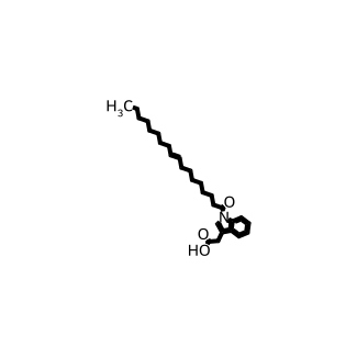 CCCCCCCC/C=C/CCCCCCCC(=O)n1cc(CC(=O)O)c2ccccc21